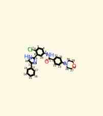 O=C(Nc1ccc(Cl)c(-c2nc(-c3ccccc3)c[nH]2)c1)c1ccc(N2CCOCC2)cc1